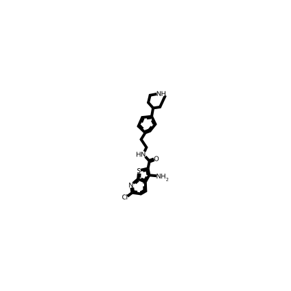 Nc1c(C(=O)NCCc2ccc(C3CCNCC3)cc2)sc2nc(Cl)ccc12